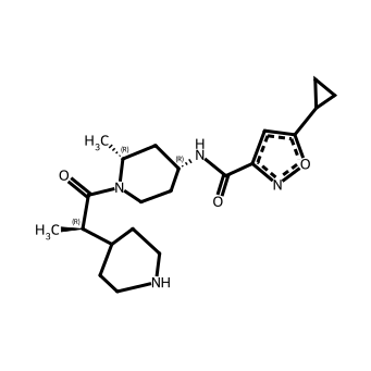 C[C@@H]1C[C@H](NC(=O)c2cc(C3CC3)on2)CCN1C(=O)[C@H](C)C1CCNCC1